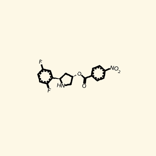 O=C(O[C@@H]1CN[C@@H](c2cc(F)ccc2F)C1)c1ccc([N+](=O)[O-])cc1